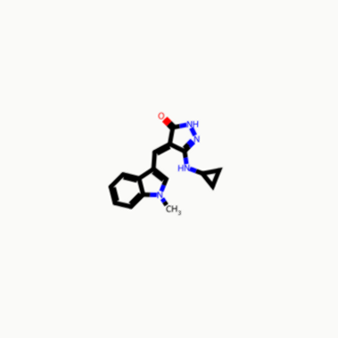 Cn1cc(C=C2C(=O)NN=C2NC2CC2)c2ccccc21